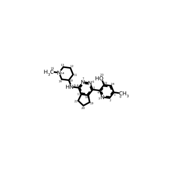 Cc1cnc(-c2nnc(NC3CCCN(C)C3)c3c2CCC3)c(O)c1